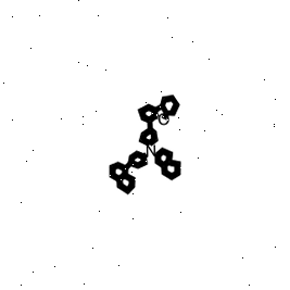 C1=CC2Oc3c(-c4ccc(N(c5ccc(-c6cccc7ccccc67)cc5)c5ccc6ccccc6c5)cc4)cccc3C2C=C1